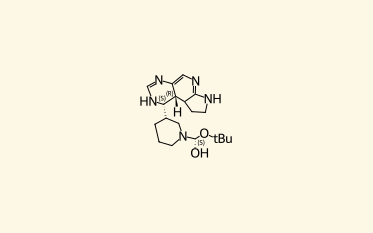 CC(C)(C)O[C@H](O)N1CCCC([C@@H]2NC=NC3=CN=C4NCCC4[C@@H]32)C1